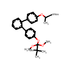 CCCCCCC(C)Oc1ccc(-c2ccccc2-c2ccc(OC(O[SiH3])(O[SiH3])C(C)(C)C(C)(C)C)cc2)cc1